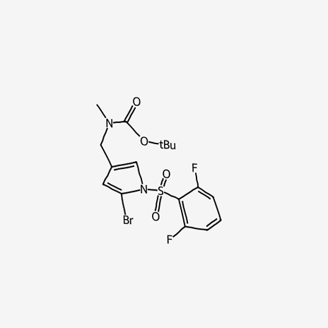 CN(Cc1cc(Br)n(S(=O)(=O)c2c(F)cccc2F)c1)C(=O)OC(C)(C)C